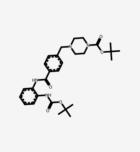 CC(C)(C)OC(=O)Nc1ccccc1NC(=O)c1ccc(CN2CCN(C(=O)OC(C)(C)C)CC2)cc1